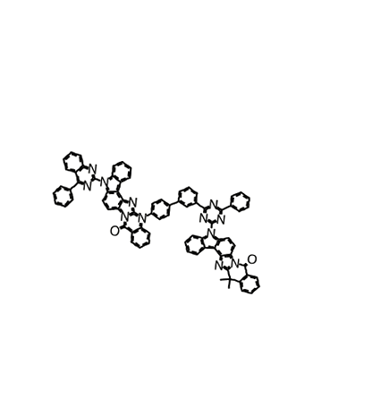 CC1(C)c2ccccc2C(=O)n2c1nc1c3c4ccccc4n(-c4nc(-c5ccccc5)nc(-c5cccc(-c6ccc(-n7c8ccccc8c(=O)n8c9ccc%10c(c%11ccccc%11n%10-c%10nc(-c%11ccccc%11)c%11ccccc%11n%10)c9nc78)cc6)c5)n4)c3ccc12